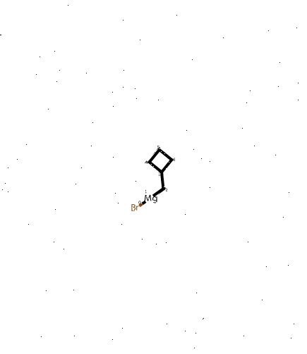 [Br][Mg][CH2]C1CCC1